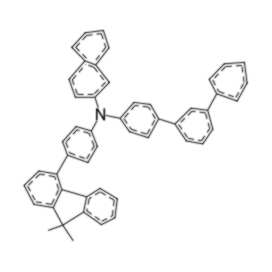 CC1(C)c2ccccc2-c2c(-c3ccc(N(c4ccc(-c5cccc(-c6ccccc6)c5)cc4)c4ccc5ccccc5c4)cc3)cccc21